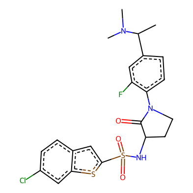 CC(c1ccc(N2CCC(NS(=O)(=O)c3cc4ccc(Cl)cc4s3)C2=O)c(F)c1)N(C)C